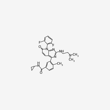 Cc1ccc(C(=O)NC2CC2)cc1-c1nc(NCCN(C)C)nc2c1ccc(=O)n2-c1c(F)cccc1F